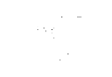 O=C(O)C(=O)C(=O)O.[Pt]